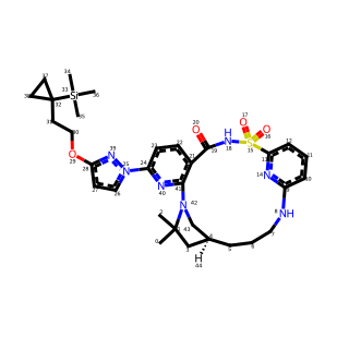 CC1(C)C[C@@H]2CCCNc3cccc(n3)S(=O)(=O)NC(=O)c3ccc(-n4ccc(OCCC5([Si](C)(C)C)CC5)n4)nc3N1C2